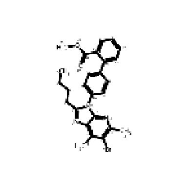 CCCCc1nc2c(C)c(Br)c(C)nc2n1-c1ccc(-c2ccccc2C(=O)OC)cc1